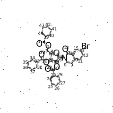 O=C(OC[C@H]1O[C@@H](n2ccc3ccc(Br)cc3c2=O)[C@H](OC(=O)c2ccccc2)[C@H]1OC(=O)c1ccccc1)c1ccccc1